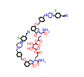 N#Cc1ccc(N2CCN(Cc3ccc(COc4cccc5c4CN([C@@H](CCC(=O)OC(=O)C(O)C(O)C(=O)OC(=O)CC[C@@H](C(N)=O)N4Cc6c(OCc7ccc(CN8CCN(c9ccc(C#N)cc9F)CC8)cc7)cccc6C4=O)C(N)=O)C5=O)cc3)CC2)c(F)c1